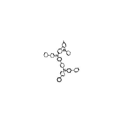 C[C@H]1C=CC2=C(C1)C1=CC=C(N(C3=CCC(C4CC=CCC4)CC3)c3ccc(C4C=CC(N(c5ccc(C6C=CC=CC6)cc5)C5C=CC(c6ccccc6)=CC5)CC4)cc3)CC1N2C1C=CCCC1